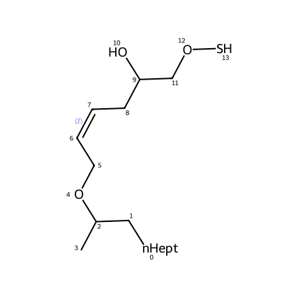 CCCCCCCCC(C)OC/C=C\CC(O)COS